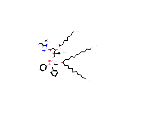 C#CC1(CO[P@@](=O)(N[C@@H](Cc2ccccc2)C(=O)OC(CCCCCCCCCCC)CCCCCCCCCCC)Oc2ccccc2)OC(n2cnc3c(N)nc(F)nc32)CC1OC(=O)CCCCCCC